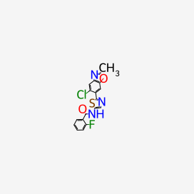 Cc1nc2cc(Cl)c(-c3ncc(NC(=O)c4ccccc4F)s3)cc2o1